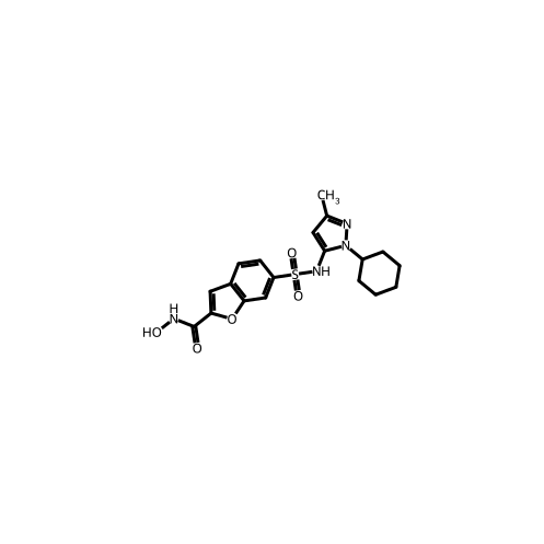 Cc1cc(NS(=O)(=O)c2ccc3cc(C(=O)NO)oc3c2)n(C2CCCCC2)n1